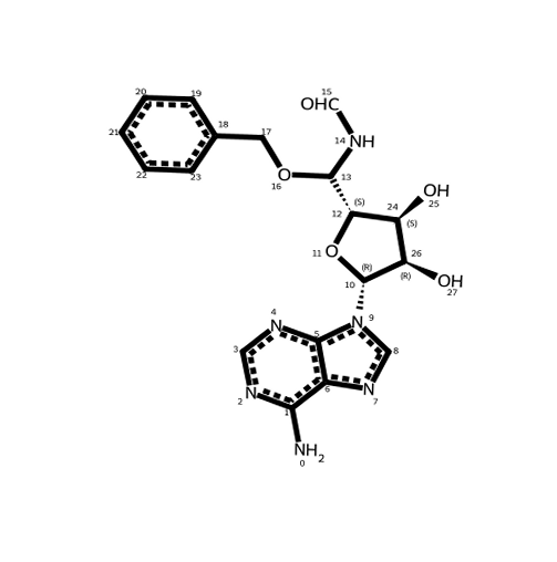 Nc1ncnc2c1ncn2[C@@H]1O[C@H](C(NC=O)OCc2ccccc2)[C@@H](O)[C@H]1O